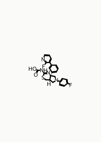 O=C(O)NC1=N[C@@]2(c3cccc(-c4cccnc4F)c3)CN(c3ccc(F)cc3)C[C@H]2CS1